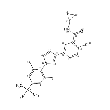 Cc1cc(C(F)(C(F)(F)F)C(F)(F)F)cc(C)c1-n1ccc(-c2ccc(Cl)c(C(=O)NC3CC3)c2)c1